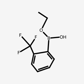 CCOB(O)c1ccccc1C(F)(F)F